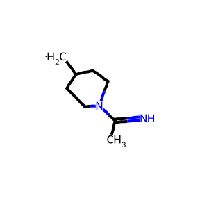 [CH2]C1CCN(C(C)=N)CC1